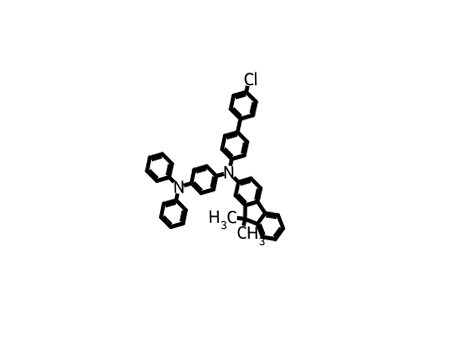 CC1(C)c2ccccc2-c2ccc(N(c3ccc(-c4ccc(Cl)cc4)cc3)c3ccc(N(c4ccccc4)c4ccccc4)cc3)cc21